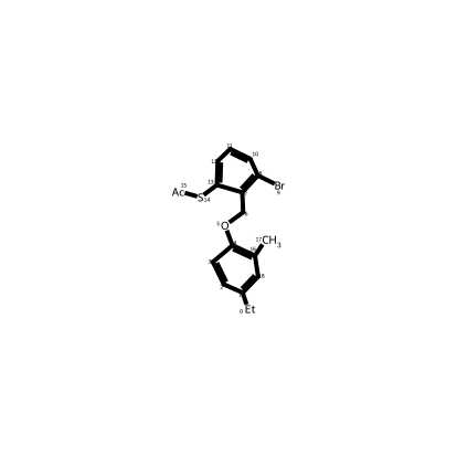 CCc1ccc(OCc2c(Br)cccc2SC(C)=O)c(C)c1